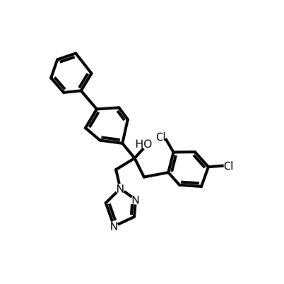 OC(Cc1ccc(Cl)cc1Cl)(Cn1cncn1)c1ccc(-c2ccccc2)cc1